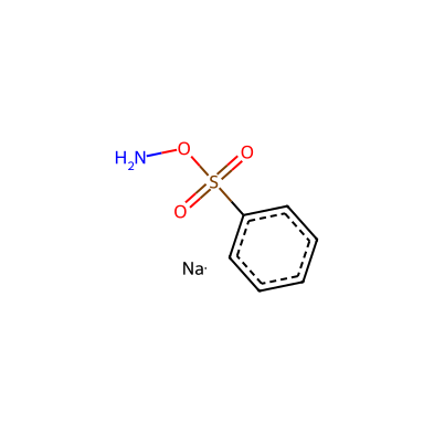 NOS(=O)(=O)c1ccccc1.[Na]